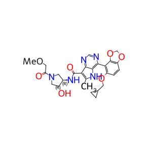 COCC(=O)N1C[C@@H](O)[C@H](NC(=O)c2c(C)[nH]c3c(-c4c(OCC5CC5)ccc5c4OCO5)ncnc23)C1